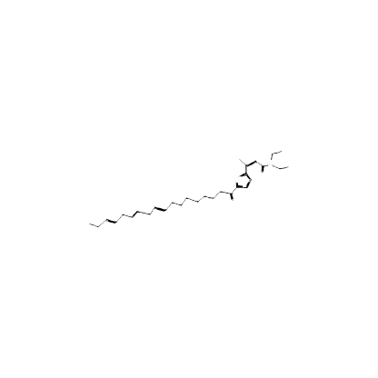 CC/C=C/C/C=C/C/C=C/CCCCCCCC(=O)c1ccc(/C(C)=C\C(=O)N(CC)CC)o1